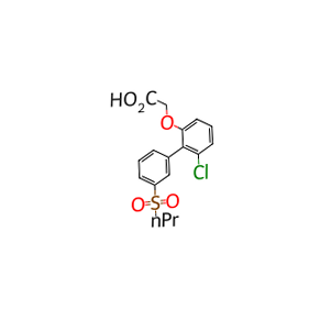 CCCS(=O)(=O)c1cccc(-c2c(Cl)cccc2OCC(=O)O)c1